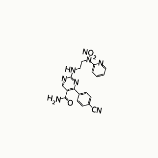 N#Cc1ccc(-c2nc(NCCN(c3ccccn3)[N+](=O)[O-])ncc2C(N)=O)cc1